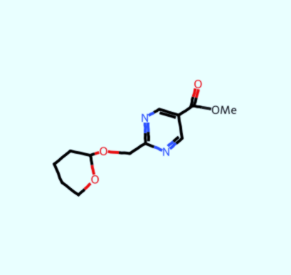 COC(=O)c1cnc(COC2CCCCO2)nc1